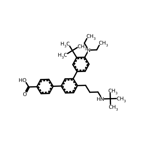 CCN(CC)c1ccc(-c2cc(-c3ccc(C(=O)O)cc3)ccc2CCCNC(C)(C)C)cc1C(C)(C)C